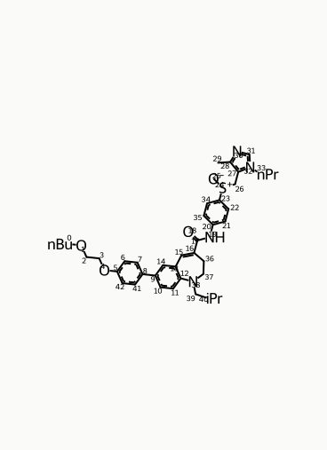 CCCCOCCOc1ccc(-c2ccc3c(c2)C=C(C(=O)Nc2ccc([S+]([O-])Cc4c(C)ncn4CCC)cc2)CCN3CC(C)C)cc1